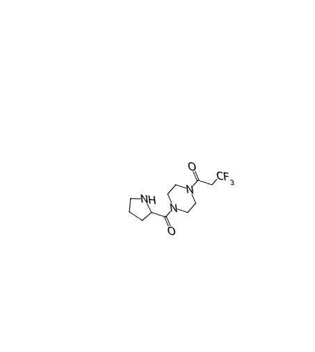 O=C(CC(F)(F)F)N1CCN(C(=O)C2CCCN2)CC1